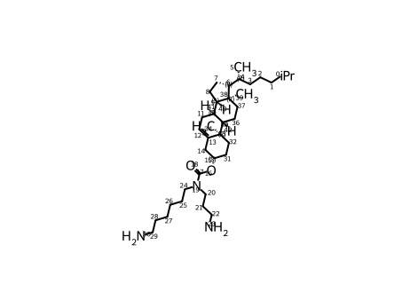 CC(C)CCC[C@@H](C)[C@H]1CC[C@H]2[C@@H]3CC=C4C[C@@H](OC(=O)N(CCCN)CCCCCCN)CC[C@]4(C)[C@H]3CC[C@]12C